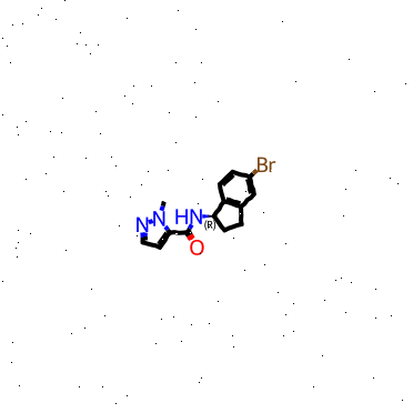 Cn1nccc1C(=O)N[C@@H]1CCc2cc(Br)ccc21